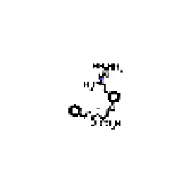 C/C(CCc1cccc(OCCC(NC(=O)OCc2ccccc2)C(=O)O)c1)=N/NC(=N)N